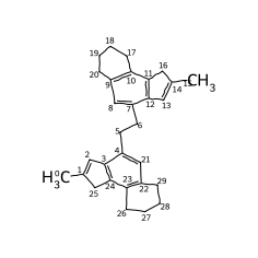 CC1=Cc2c(CCc3cc4c(c5c3C=C(C)C5)CCCC4)cc3c(c2C1)CCCC3